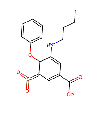 CCCCNC1=CC(C(=O)O)=CC(=S(=O)=O)C1Oc1ccccc1